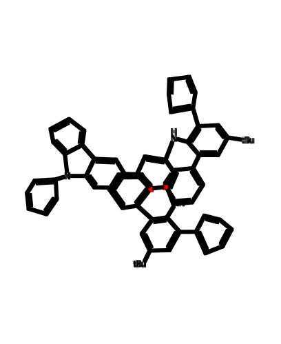 CC(C)(C)c1cc(-c2ccccc2)c(Nc2cc(Nc3c(-c4ccccc4)cc(C(C)(C)C)cc3-c3ccccc3)cc(-c3ccc4c(c3)c3ccccc3n4-c3ccccc3)c2)c(-c2ccccc2)c1